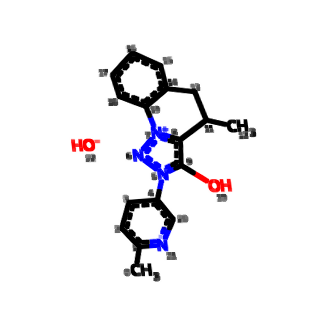 Cc1ccc(-n2n[n+]3c(c2O)C(C)Cc2ccccc2-3)cn1.[OH-]